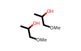 COCC(C)O.COCC(C)O